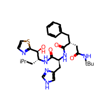 CC(C)C[C@@H](NC(=O)[C@H](Cc1c[nH]cn1)NC(=O)[C@@H](CC(=O)NC(C)(C)C)Cc1ccccc1)[C@H](O)c1nccs1